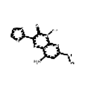 CCCNc1cc(N)c2nc(-c3nccs3)c(=O)n(CCC)c2n1